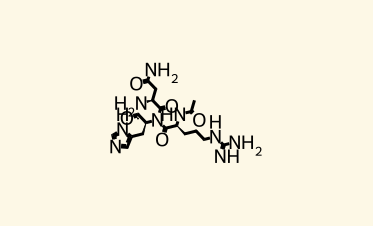 CC(=O)N[C@@H](CCCNC(=N)N)C(=O)N(C(=O)[C@@H](N)CC(N)=O)[C@H]([C]=O)Cc1cnc[nH]1